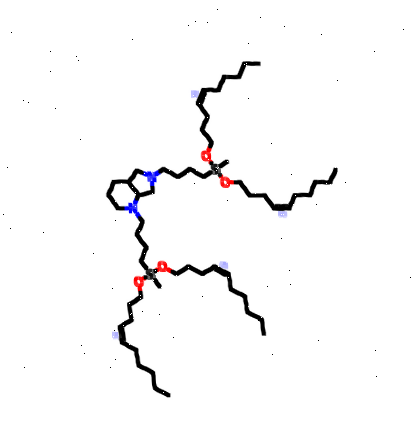 CCCCC/C=C\CCCO[Si](C)(CCCCN1CC2CCCN(CCCC[Si](C)(OCCC/C=C\CCCCC)OCCC/C=C\CCCCC)C2C1)OCCC/C=C\CCCCC